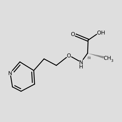 C[C@H](NOCCc1cccnc1)C(=O)O